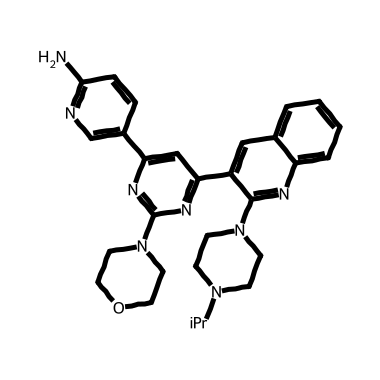 CC(C)N1CCN(c2nc3ccccc3cc2-c2cc(-c3ccc(N)nc3)nc(N3CCOCC3)n2)CC1